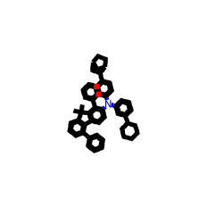 CC1(C)c2cccc(-c3ccccc3)c2-c2ccc(N(c3ccc(C4CC5CCC4C5)cc3)c3cccc(C4CCCCC4)c3)c(-c3ccccc3)c21